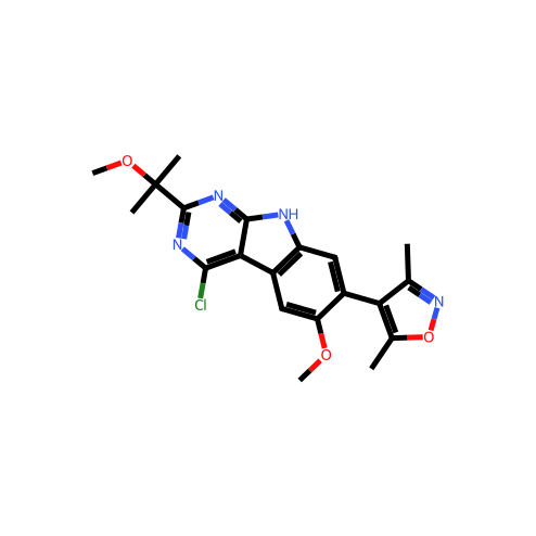 COc1cc2c(cc1-c1c(C)noc1C)[nH]c1nc(C(C)(C)OC)nc(Cl)c12